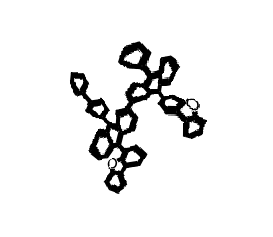 c1ccc(-c2ccc(-c3c4ccccc4c(-c4cccc5c4oc4ccccc45)c4ccc(-c5ccc6c(-c7ccccc7)c7ccccc7c(-c7ccc8c(c7)oc7ccccc78)c6c5)cc34)cc2)cc1